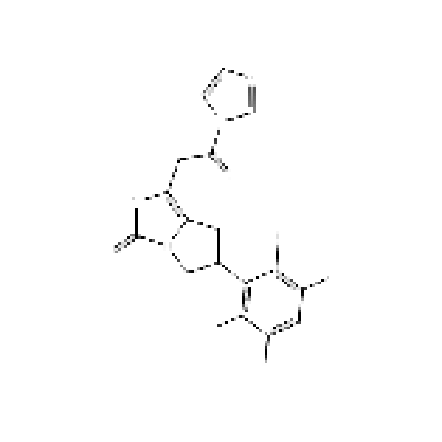 O=C(Cc1[nH]c(=S)n2c1CC(c1c(F)c(F)cc(F)c1F)C2)n1ccnc1